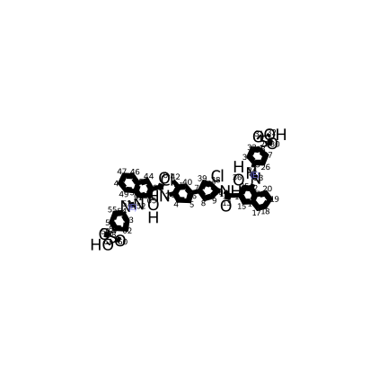 O=C(Nc1ccc(-c2ccc(NC(=O)c3cc4ccccc4c(/N=N/c4ccc(S(=O)(=O)O)cc4)c3O)c(Cl)c2)cc1Cl)c1cc2ccccc2c(/N=N/c2ccc(S(=O)(=O)O)cc2)c1O